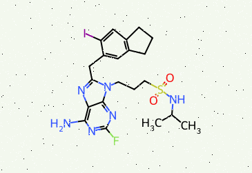 CC(C)NS(=O)(=O)CCCn1c(Cc2cc3c(cc2I)CCC3)nc2c(N)nc(F)nc21